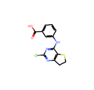 O=C(O)c1cccc(Nc2nc(Cl)nc3c2SCC3)c1